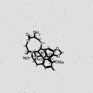 COc1c(C)cc2c(c1O)C1[C@@H]3C(c4cc5c(c(C)c4OC(C)=O)OCO5)SCC(N)C(=O)OCC(C)N3[C@@H](C#N)C(C2)N1C